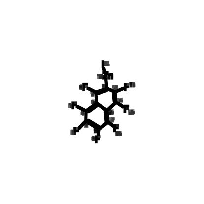 Fc1c(F)c(F)c2c(F)[c]([Zn][I])c(F)c(F)c2c1F